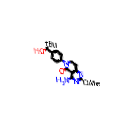 COc1nc(N)c2c(n1)CCN(c1ccc(C(O)C(C)(C)C)cc1)C2=O